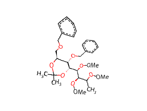 COOC(C)[C@@H](OOC)[C@H](OOC)[C@@H]1OC(C)(C)O[C@@H](COCc2ccccc2)[C@@H]1OCc1ccccc1